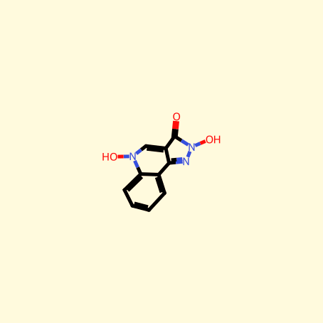 O=c1c2cn(O)c3ccccc3c-2nn1O